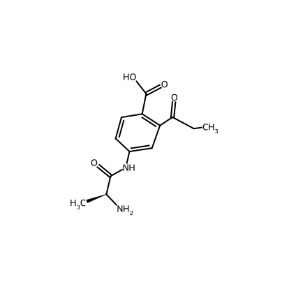 CCC(=O)c1cc(NC(=O)[C@H](C)N)ccc1C(=O)O